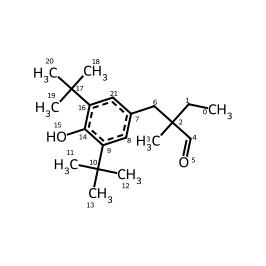 CCC(C)(C=O)Cc1cc(C(C)(C)C)c(O)c(C(C)(C)C)c1